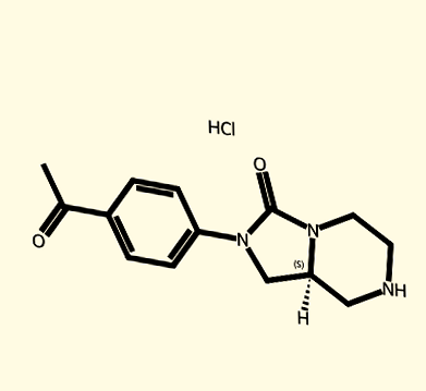 CC(=O)c1ccc(N2C[C@@H]3CNCCN3C2=O)cc1.Cl